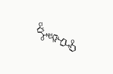 O=C(NCc1ccn(-c2ccc(-n3ccccc3=O)cc2)n1)c1ccc(Cl)s1